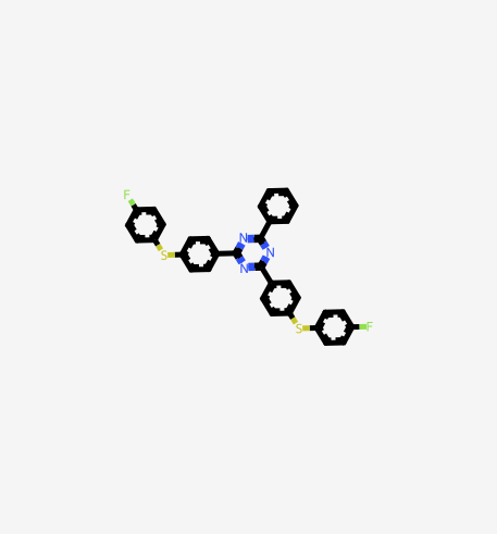 Fc1ccc(Sc2ccc(-c3nc(-c4ccccc4)nc(-c4ccc(Sc5ccc(F)cc5)cc4)n3)cc2)cc1